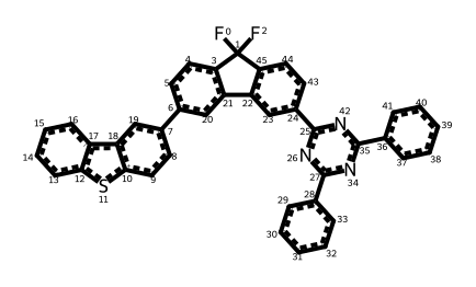 FC1(F)c2ccc(-c3ccc4sc5ccccc5c4c3)cc2-c2cc(-c3nc(-c4ccccc4)nc(-c4ccccc4)n3)ccc21